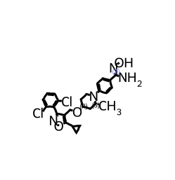 C[C@H]1C[C@H](OCc2c(-c3c(Cl)cccc3Cl)noc2C2CC2)CCN1c1ccc(/C(N)=N/O)cc1